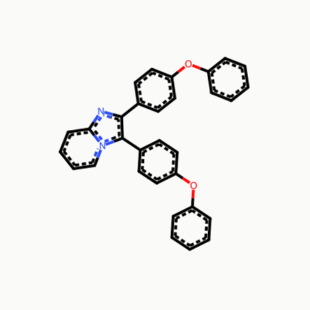 c1ccc(Oc2ccc(-c3nc4ccccn4c3-c3ccc(Oc4ccccc4)cc3)cc2)cc1